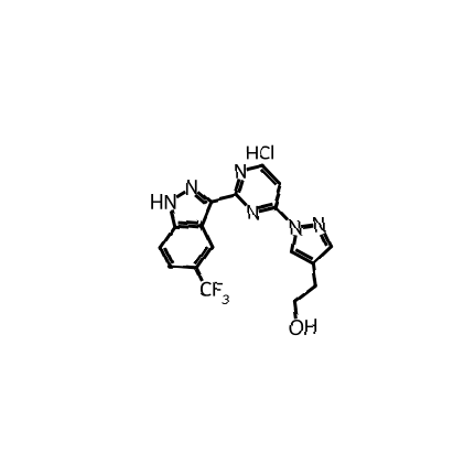 Cl.OCCc1cnn(-c2ccnc(-c3n[nH]c4ccc(C(F)(F)F)cc34)n2)c1